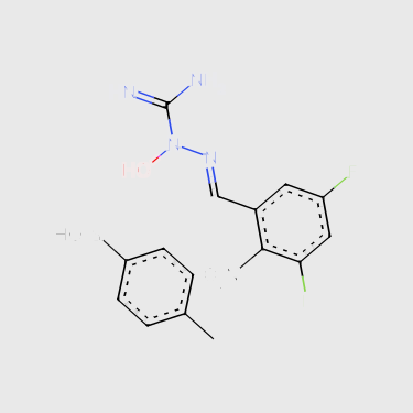 Cc1ccc(S(=O)(=O)O)cc1.N=C(N)N(O)N=Cc1cc(F)cc(F)c1[N+](=O)[O-]